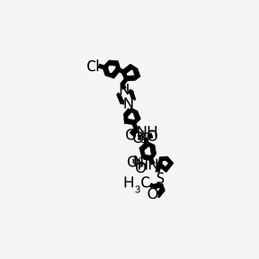 Cc1occc1SCC1(Nc2ccc(S(=O)(=O)NC(=O)c3ccc(N4CCN(Cc5ccccc5-c5ccc(Cl)cc5)CC4)cc3)cc2[N+](=O)[O-])CCCC1